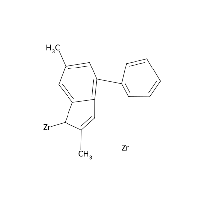 CC1=Cc2c(-c3ccccc3)cc(C)cc2[CH]1[Zr].[Zr]